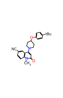 Cn1c(=O)cc(N2CCC(Oc3ccc(C(C)(C)C)cc3)CC2)c2cc(C#N)ccc21